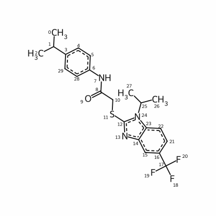 CC(C)c1ccc(NC(=O)CSc2nc3cc(C(F)(F)F)ccc3n2C(C)C)cc1